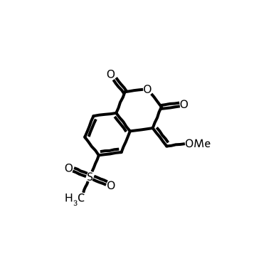 COC=C1C(=O)OC(=O)c2ccc(S(C)(=O)=O)cc21